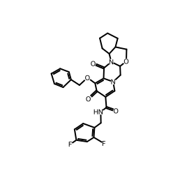 O=C(NCc1ccc(F)cc1F)c1cn2c(c(OCc3ccccc3)c1=O)C(=O)N1C(C2)OCC2CCCCC21